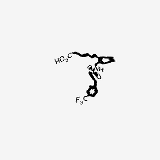 O=C(O)CCC/C=C/C1C2CCC(C2)C1CNS(=O)(=O)/C=C/c1ccc(C(F)(F)F)cc1